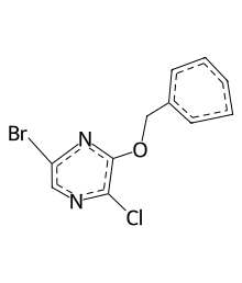 Clc1ncc(Br)nc1OCc1ccccc1